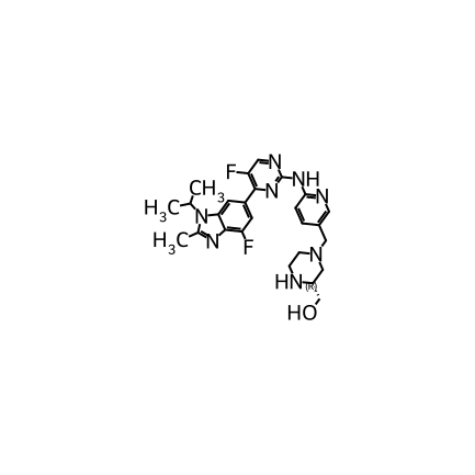 Cc1nc2c(F)cc(-c3nc(Nc4ccc(CN5CCN[C@@H](CO)C5)cn4)ncc3F)cc2n1C(C)C